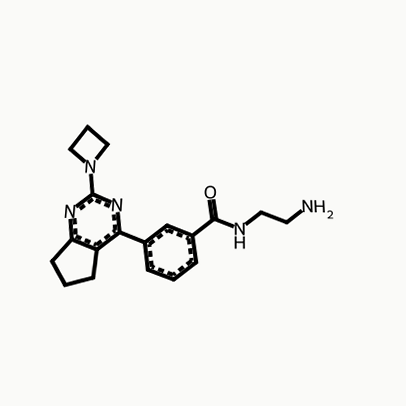 NCCNC(=O)c1cccc(-c2nc(N3CCC3)nc3c2CCC3)c1